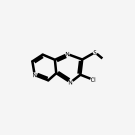 CSc1nc2ccncc2nc1Cl